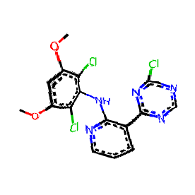 COc1cc(OC)c(Cl)c(Nc2ncccc2-c2ncnc(Cl)n2)c1Cl